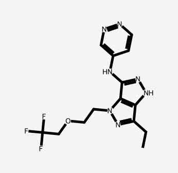 CCc1nn(CCOCC(F)(F)F)c2c(Nc3ccnnc3)n[nH]c12